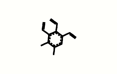 C=Cc1cc(C)c(C)c(C=C)c1C=C